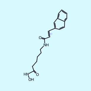 O=C(/C=C/c1ccc2ccccc2c1)NCCCCCC(=O)NO